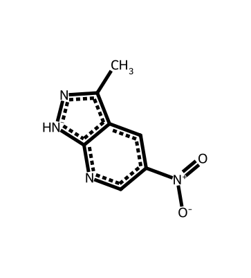 Cc1n[nH]c2ncc([N+](=O)[O-])cc12